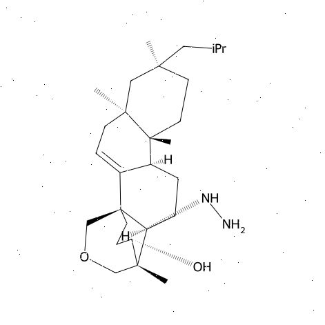 CC(C)C[C@@]1(C)CC[C@]2(C)[C@H]3CC[C@@H]4[C@@]5(COC[C@]4(C)[C@@H](O)[C@H](NN)C5)C3=CC[C@@]2(C)C1